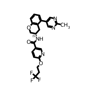 Cc1ncc(-c2cccc3c2C[C@H](NC(=O)c2ccc(OCCC(F)(F)F)nc2)CO3)cn1